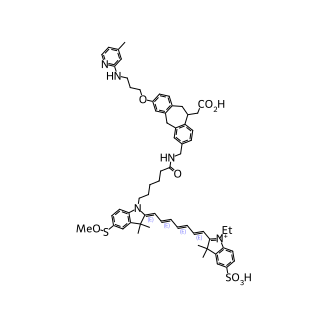 CC[N+]1=C(/C=C/C=C/C=C/C=C2/N(CCCCCC(=O)NCc3ccc4c(c3)Cc3cc(OCCCNc5cc(C)ccn5)ccc3CC4CC(=O)O)c3ccc(SOC)cc3C2(C)C)C(C)(C)c2cc(S(=O)(=O)O)ccc21